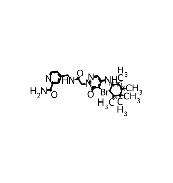 C[C@@H]1[C@@H](C)C(C)(C)[C@@H](C)C[C@H]1Nc1cnn(CC(=O)NCc2ccnc(C(N)=O)c2)c(=O)c1Br